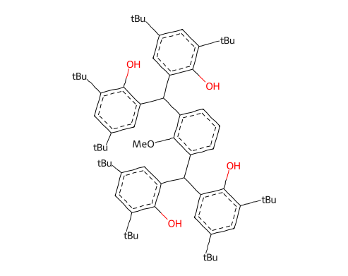 COc1c(C(c2cc(C(C)(C)C)cc(C(C)(C)C)c2O)c2cc(C(C)(C)C)cc(C(C)(C)C)c2O)cccc1C(c1cc(C(C)(C)C)cc(C(C)(C)C)c1O)c1cc(C(C)(C)C)cc(C(C)(C)C)c1O